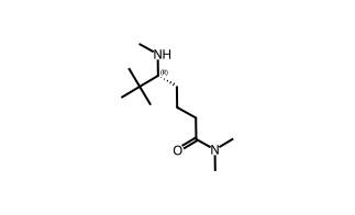 CN[C@H](CCCC(=O)N(C)C)C(C)(C)C